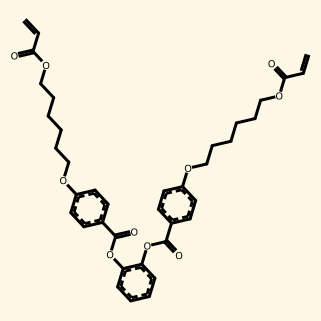 C=CC(=O)OCCCCCCOc1ccc(C(=O)Oc2ccccc2OC(=O)c2ccc(OCCCCCCOC(=O)C=C)cc2)cc1